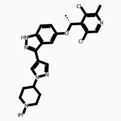 Cc1ncc(Cl)c([C@@H](C)Oc2ccc3[nH]nc(-c4cnn(C5CCN(C(C)C)CC5)c4)c3c2)c1Cl